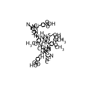 [C-]#[N+]/C(C#N)=C\c1sc(/N=N/c2cc(OC)c(N(CC)CC)cc2Nc2nc(Nc3cc(N(CC)CC)c(OC)cc3/N=N/c3nc(NCCc4ccc(S(=O)(=O)O)cc4)c(/C=C(\C#N)[N+]#[C-])s3)nc(SCCO)n2)nc1NCCc1ccc(S(=O)(=O)O)cc1